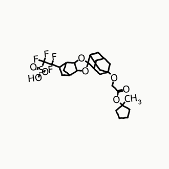 CC1(OC(=O)COC23CC4CC(C2)C2(OC5C6CC(C5O2)C(C(F)(F)C(F)(F)S(=O)(=O)O)C6)C(C4)C3)CCCC1